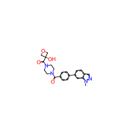 Cn1ncc2ccc(-c3ccc(C(=O)N4CCN(C(=O)C5(O)COC5)CC4)cc3)cc21